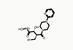 CC(C)C[C@H](C(=O)N1CCN(c2ccccn2)CC1)[C@@H](O)C(=O)NO